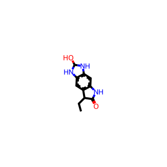 CCC1C(=O)Nc2cc3c(cc21)NC(O)N3